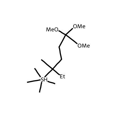 CCC(C)(CCC(OC)(OC)OC)[SH](C)(C)(C)C